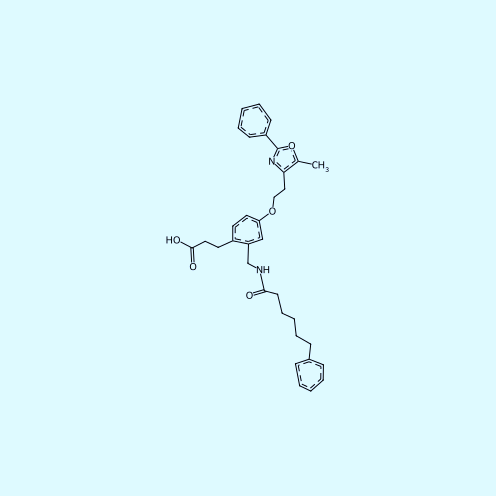 Cc1oc(-c2ccccc2)nc1CCOc1ccc(CCC(=O)O)c(CNC(=O)CCCCCc2ccccc2)c1